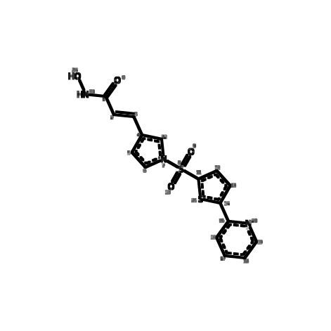 O=C(/C=C/c1ccn(S(=O)(=O)c2ccc(-c3ccccn3)s2)c1)NO